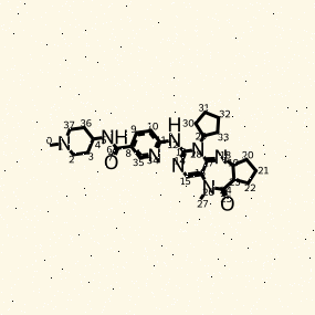 CN1CCC(NC(=O)c2ccc(NC3=NC=C4C(=NC5CCCC5C(=O)N4C)N3C3CCCC3)nc2)CC1